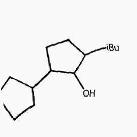 CCC(C)C1CCC(C2CCCC2)C1O